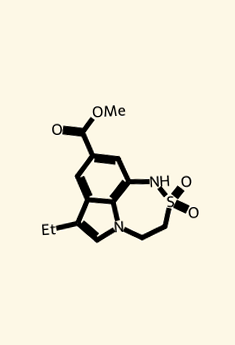 CCc1cn2c3c(cc(C(=O)OC)cc13)NS(=O)(=O)CC2